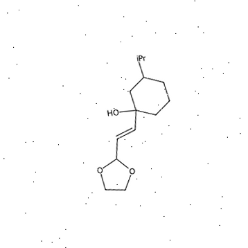 CC(C)C1CCCC(O)(C=CC2OCCO2)C1